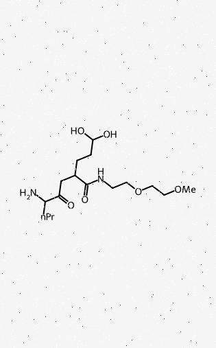 CCCC(N)C(=O)CC(CCC(O)O)C(=O)NCCOCCOC